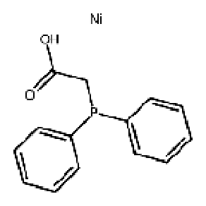 O=C(O)CP(c1ccccc1)c1ccccc1.[Ni]